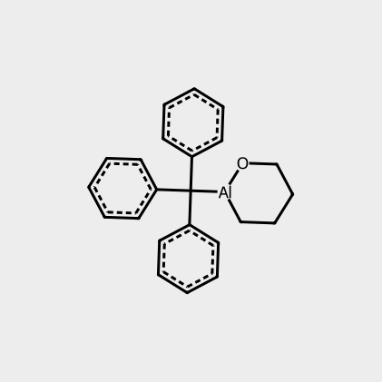 c1ccc([C](c2ccccc2)(c2ccccc2)[Al]2[CH2]CCC[O]2)cc1